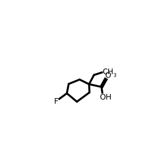 CCC1(C(=O)O)CCC(F)CC1